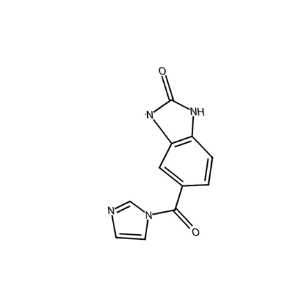 O=C1[N]c2cc(C(=O)n3ccnc3)ccc2N1